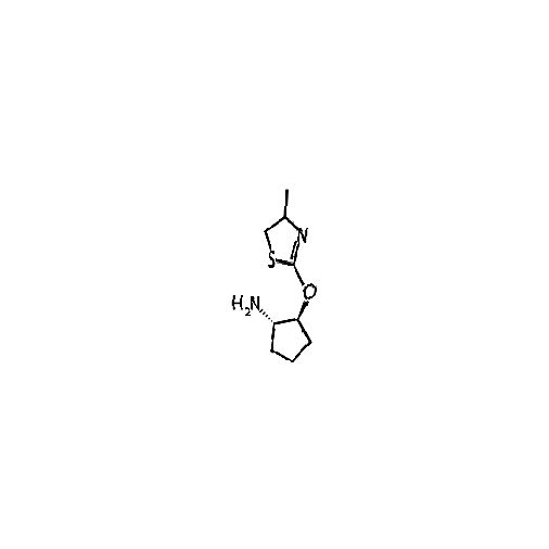 CC1CSC(O[C@H]2CCC[C@@H]2N)=N1